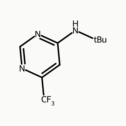 CC(C)(C)Nc1cc(C(F)(F)F)ncn1